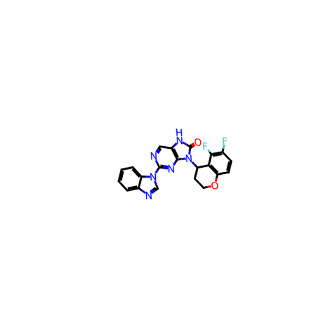 O=c1[nH]c2cnc(-n3cnc4ccccc43)nc2n1C1CCOc2ccc(F)c(F)c21